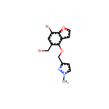 Cn1ccc(COc2c(CBr)cc(Br)c3occc23)n1